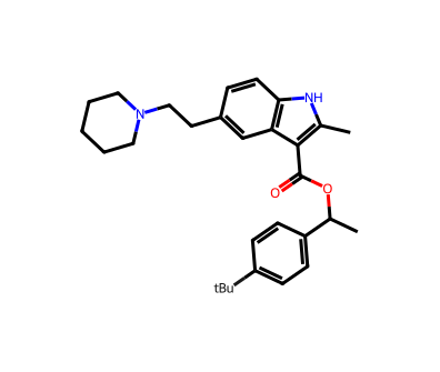 Cc1[nH]c2ccc(CCN3CCCCC3)cc2c1C(=O)OC(C)c1ccc(C(C)(C)C)cc1